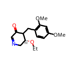 CCO[C@@H]1CN=CC(=O)C1Cc1ccc(OC)cc1OC